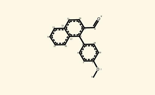 COc1ccc(-c2c(C=O)ccc3ccccc23)cc1